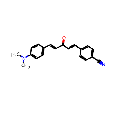 CN(C)c1ccc(C=CC(=O)C=Cc2ccc(C#N)cc2)cc1